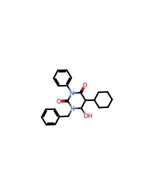 O=C1C(C2CCCCC2)C(O)N(Cc2ccccc2)C(=O)N1c1ccccc1